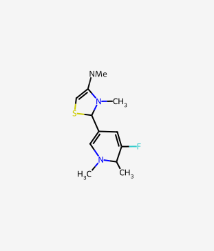 CNC1=CSC(C2=CN(C)C(C)C(F)=C2)N1C